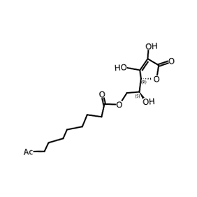 CC(=O)CCCCCCCC(=O)OC[C@H](O)[C@H]1OC(=O)C(O)=C1O